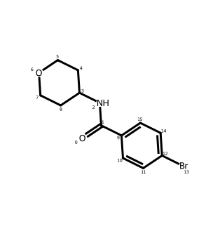 O=C(NC1CCOCC1)c1ccc(Br)cc1